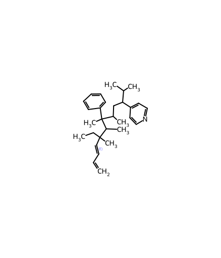 C=C/C=C/C(C)(CC)C(C)C(C)(c1ccccc1)C(C)CC(c1ccncc1)C(C)C